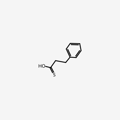 OC(=S)CCc1ccccc1